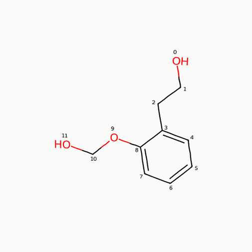 OCCc1ccccc1OCO